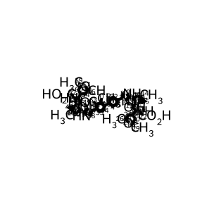 Cc1c(-c2ccc(-c3c[nH]c([C@@H]4C[C@@]5(C)C[C@H]5N4C(=O)[C@@H](NC(=O)O)C4C[C@@H](C)O[C@H](C)C4)n3)cc2)ccc(-c2c[nH]c([C@@H]3C[C@@]4(C)C[C@H]4N3C(=O)[C@@H](NC(=O)O)C3C[C@@H](C)O[C@H](C)C3)n2)c1C